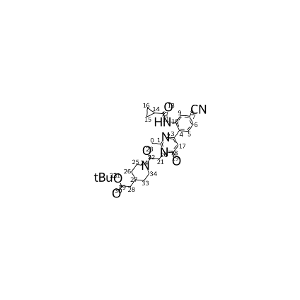 Cc1nc(-c2ccc(C#N)cc2NC(=O)C2CC2)cc(=O)n1CC(=O)N1CCC(CC(=O)OC(C)(C)C)CC1